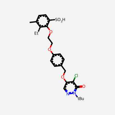 CCc1c(C)ccc(S(=O)(=O)O)c1OCCOc1ccc(COc2cnn(C(C)(C)C)c(=O)c2Cl)cc1